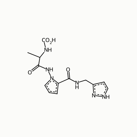 CC(NC(=O)O)C(=O)Nn1cccc1C(=O)NCc1cc[nH]n1